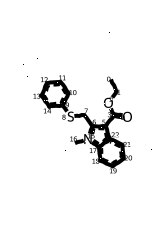 CCOC(=O)c1c(CSc2ccccc2)n(C)c2ccccc12